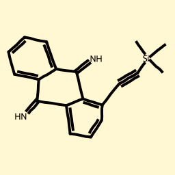 C[Si](C)(C)C#Cc1cccc2c1C(=N)c1ccccc1C2=N